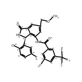 COCc1cc(NC(=O)c2cc(F)cc(C(F)(F)F)c2)c2c(c1)C(=O)N[C@@H]2c1cc(F)ccc1Cl